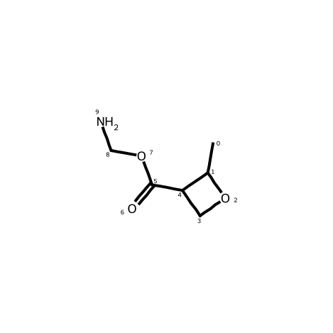 CC1OCC1C(=O)OCN